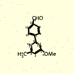 COc1cc(C)nc(-c2ccc(C=O)cc2)n1